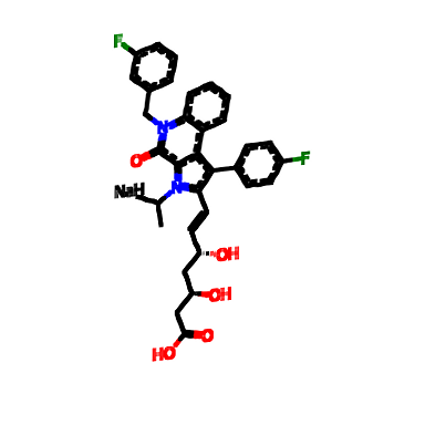 CC(C)n1c(/C=C/[C@H](O)C[C@@H](O)CC(=O)O)c(-c2ccc(F)cc2)c2c3ccccc3n(Cc3cccc(F)c3)c(=O)c21.[NaH]